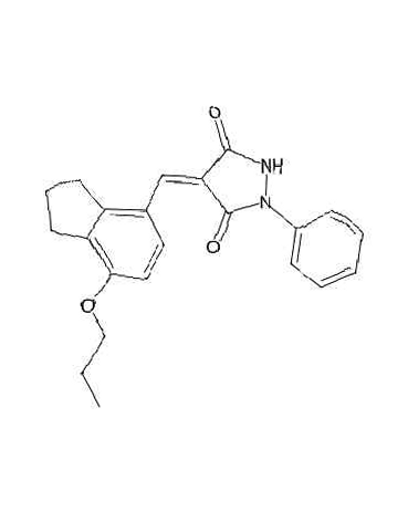 CCCOc1ccc(C=C2C(=O)NN(c3ccccc3)C2=O)c2c1CCC2